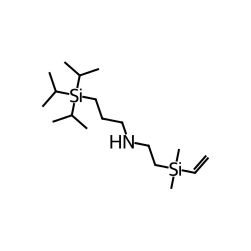 C=C[Si](C)(C)CCNCCC[Si](C(C)C)(C(C)C)C(C)C